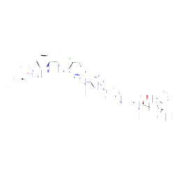 C=CC(=O)Nc1cccc(CNc2nc(Nc3cnn(C4CCN(CCNC(=O)CC5[C@@H]6CC[C@H](C[C@@H]5C)C6C)CC4)c3)ncc2Cl)c1